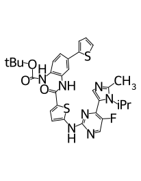 Cc1ncc(-c2nc(Nc3ccc(C(=O)Nc4cc(-c5cccs5)ccc4NC(=O)OC(C)(C)C)s3)ncc2F)n1C(C)C